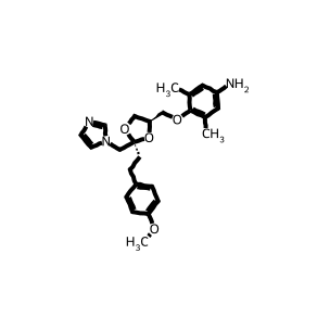 COc1ccc(CC[C@]2(Cn3ccnc3)OC[C@@H](COc3c(C)cc(N)cc3C)O2)cc1